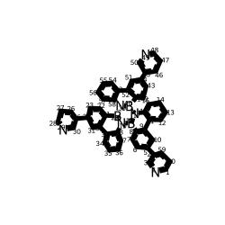 c1cncc(-c2ccc3c(c2)-c2ccccc2N2B3N3B(c4ccc(-c5cccnc5)cc4-c4ccccc43)N3B2c2ccc(-c4cccnc4)cc2-c2ccccc23)c1